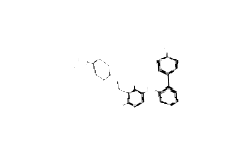 CCCC[C@H]1CC[C@H](CCc2c(F)c[c]c(Oc3ccccc3-c3ccc(C(F)(F)F)cc3)c2F)CC1